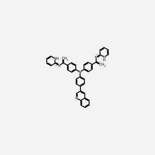 C=C(/N=c1/cccc[nH]1)c1ccc(N(c2ccc(C(=C)/N=c3/cccc[nH]3)cc2)c2ccc(-c3cnc4ccccc4c3)cc2)cc1